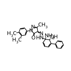 CC1=NN(c2ccc(C)c(C)c2)C(=O)C1=NNC1(N)C=CC=C(c2ccccc2)C1O